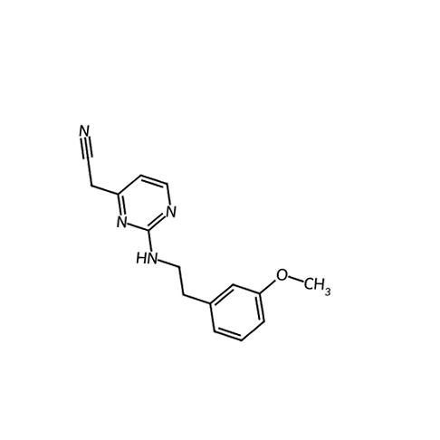 COc1cccc(CCNc2nccc(CC#N)n2)c1